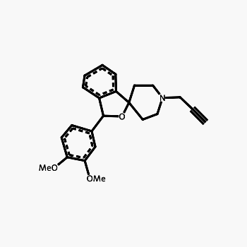 C#CCN1CCC2(CC1)OC(c1ccc(OC)c(OC)c1)c1ccccc12